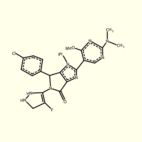 COc1nc(N(C)C)ncc1-c1nc2c(n1C(C)C)C(c1ccc(Cl)cc1)N(C1=C(F)CNN1)C2=O